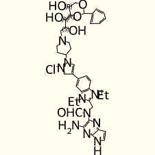 CCn1c(CN(C=O)c2nc3cc[nH]c3nc2N)[n+](CC)c2ccc(-c3cnn(C4CCN(C[C@H](O)[C@@H](O)[C@@H]5OC(c6ccccc6)OC[C@H]5O)CC4)c3)cc21.[Cl-]